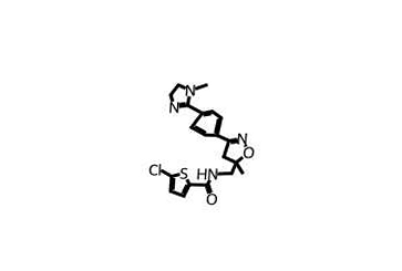 CN1CCN=C1c1ccc(C2=NOC(C)(CNC(=O)c3ccc(Cl)s3)C2)cc1